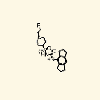 O=C(Nc1c2c(cc3c1CCC3)CCC2)NS(=O)(=O)C1CCN(CCF)CC1